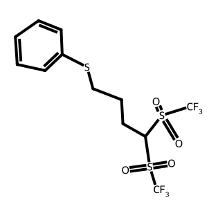 O=S(=O)(C(CCCSc1ccccc1)S(=O)(=O)C(F)(F)F)C(F)(F)F